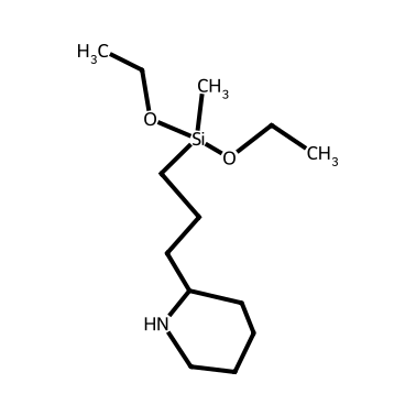 CCO[Si](C)(CCCC1CCCCN1)OCC